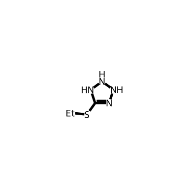 CCSC1=NNNN1